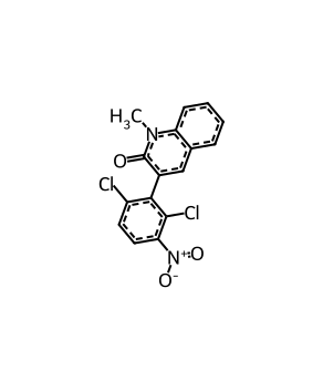 Cn1c(=O)c(-c2c(Cl)ccc([N+](=O)[O-])c2Cl)cc2ccccc21